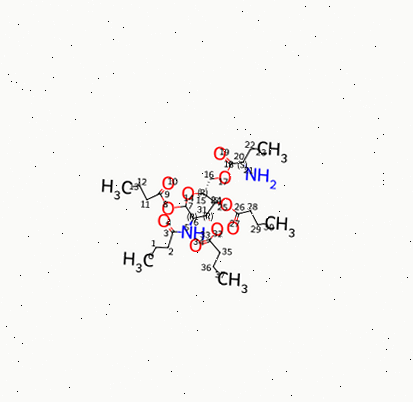 CCCC(=O)N[C@H]1C(OC(=O)CCC)O[C@H](COC(=O)[C@@H](N)CC)[C@@H](OC(=O)CCC)[C@@H]1OC(=O)CCC